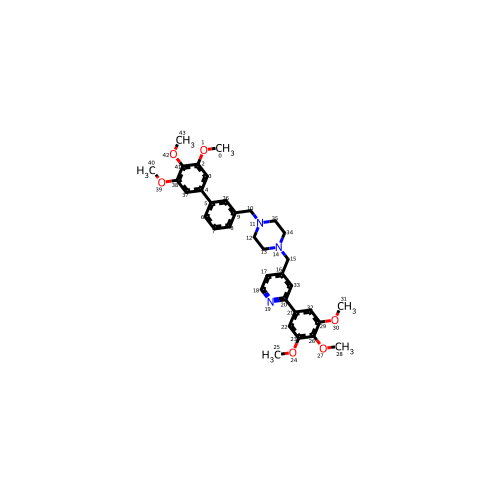 COc1cc(-c2cccc(CN3CCN(Cc4ccnc(-c5cc(OC)c(OC)c(OC)c5)c4)CC3)c2)cc(OC)c1OC